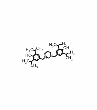 CC(C)c1cc(CN2CCCN(Cc3cc(C(C)C)c(O)c(C(C)C)c3)C2)cc(C(C)C)c1O